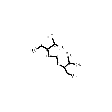 CCC(NCOC(CC)C(C)C)C(C)C